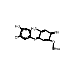 CCCCCCOC1=C/C(=N/c2ccc(O)c(Cl)c2)C(N)=CC1=N